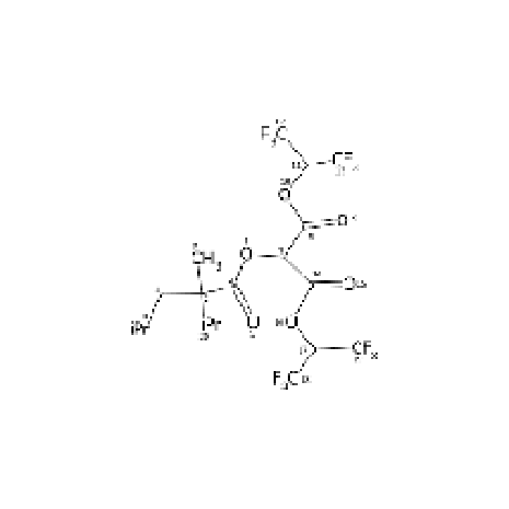 CC(C)CC(C)(C(=O)OC(C(=O)OC(C(F)(F)F)C(F)(F)F)C(=O)OC(C(F)(F)F)C(F)(F)F)C(C)C